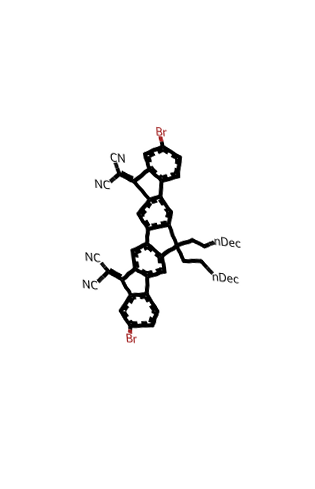 CCCCCCCCCCCCC1(CCCCCCCCCCCC)c2cc3c(cc2-c2cc4c(cc21)-c1ccc(Br)cc1C4=C(C#N)C#N)C(=C(C#N)C#N)c1cc(Br)ccc1-3